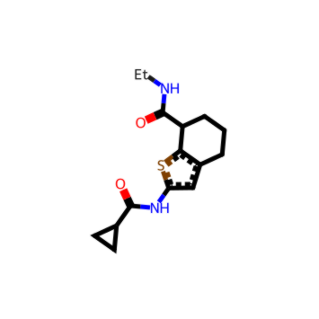 CCNC(=O)C1CCCc2cc(NC(=O)C3CC3)sc21